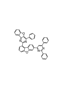 c1ccc(-c2cc(-c3ccc4c(c3)oc3cccc(-c5nc(-c6ccccc6)c6oc7ccccc7c6n5)c34)nc(-c3ccccc3)n2)cc1